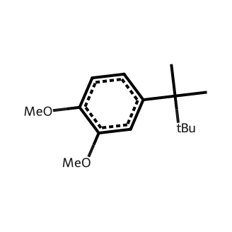 COc1ccc(C(C)(C)C(C)(C)C)cc1OC